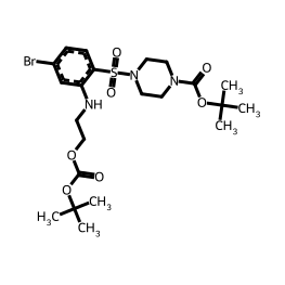 CC(C)(C)OC(=O)OCCNc1cc(Br)ccc1S(=O)(=O)N1CCN(C(=O)OC(C)(C)C)CC1